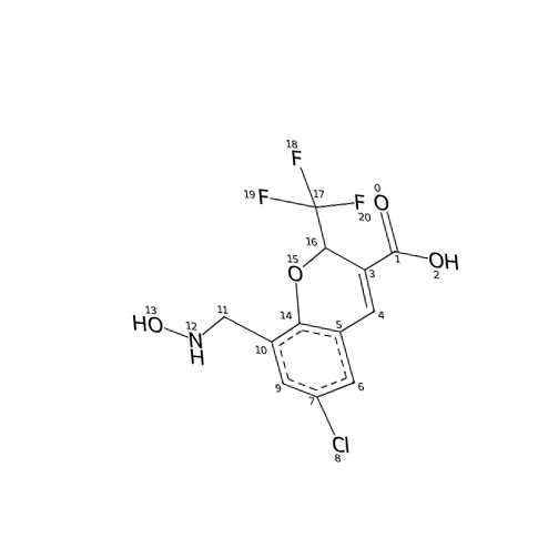 O=C(O)C1=Cc2cc(Cl)cc(CNO)c2OC1C(F)(F)F